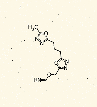 Cc1nnc(CCCc2nnc(COC=N)o2)o1